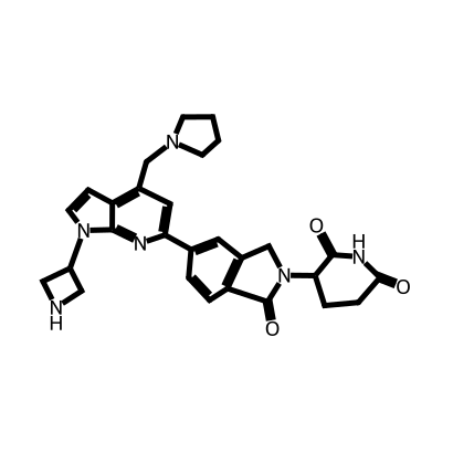 O=C1CCC(N2Cc3cc(-c4cc(CN5CCCC5)c5ccn(C6CNC6)c5n4)ccc3C2=O)C(=O)N1